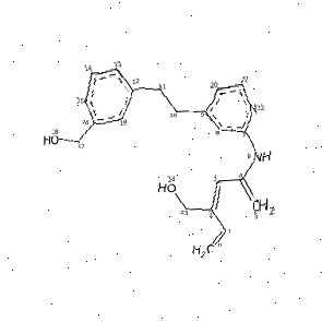 C=C/C(=C\C(=C)Nc1cc(CCc2cccc(CO)c2)ccn1)CO